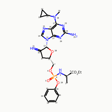 CCOC(=O)[C@@H](C)NP(=O)(OC[C@@H]1CC(=N)[C@H](n2cnc3c(N(C)C4CC4)nc(N)nc32)O1)Oc1ccccc1